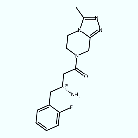 Cc1nnc2n1CCN(C(=O)C[C@H](N)Cc1ccccc1F)C2